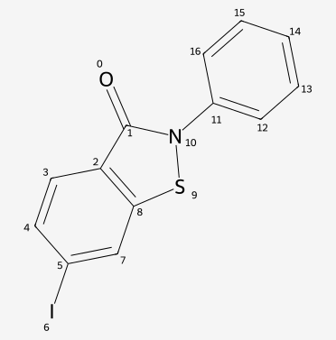 O=c1c2ccc(I)cc2sn1-c1ccccc1